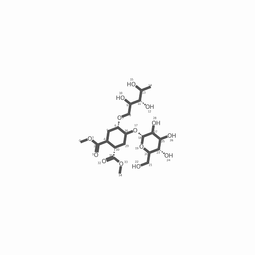 COC(=O)C1C[C@H](OCC(O)[C@@H](O)C(C)O)C(O[C@H]2OC(CO)[C@@H](O)C(O)C2O)C[C@@H]1C(=O)OC